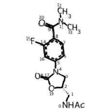 CC(=O)NC[C@H]1CN(c2ccc(C(=O)N(C)C)c(F)c2)C(=O)O1